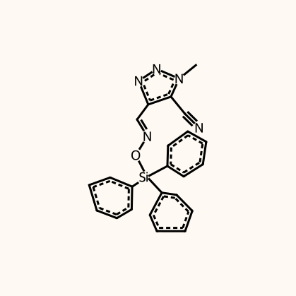 Cn1nnc(C=NO[Si](c2ccccc2)(c2ccccc2)c2ccccc2)c1C#N